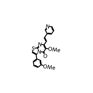 COc1cccc(-c2csc3nc(/C=C/c4cccnc4)c(OC)c(=O)n23)c1